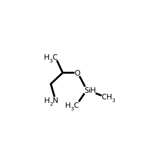 CC(CN)O[SiH](C)C